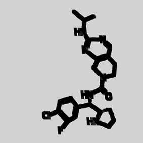 CC(C)Nc1ncc2c(n1)CN(C(=O)N[C@@H](c1ccc(Cl)c(F)c1)[C@@H]1CCCN1)CC2